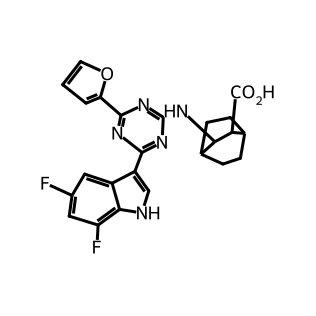 O=C(O)C1C2CCC(CC2)C1Nc1nc(-c2ccco2)nc(-c2c[nH]c3c(F)cc(F)cc23)n1